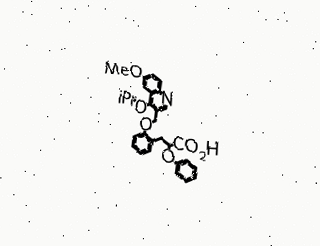 COc1ccc2ncc(COc3ccccc3CC(Oc3ccccc3)C(=O)O)c(OC(C)C)c2c1